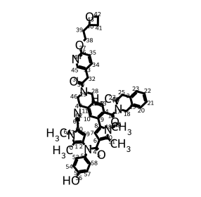 Cc1c(N(C(=O)c2cc(-c3cc4c(cc3C(=O)N3Cc5ccccc5C[C@H]3C)CN(C(=O)Cc3ccc(OCCC5CCO5)nc3)CC4)n(C)c2C)c2ccc(O)cc2)cc(C#N)n1C